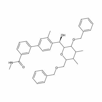 CNC(=O)c1cccc(-c2ccc([C@@H](O)C3OC(COCc4ccccc4)C(C)C(C)C3OCc3ccccc3)c(C)c2)c1